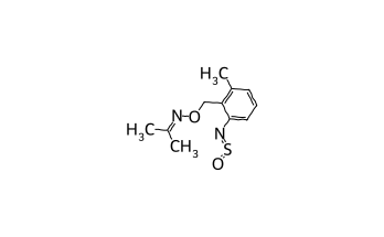 CC(C)=NOCc1c(C)cccc1N=S=O